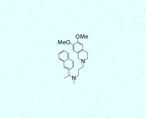 COc1cc2c(cc1OC)CN(CCCN(C)C(C)c1ccc3ccccc3c1)CC2